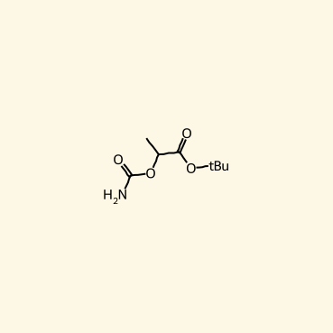 CC(OC(N)=O)C(=O)OC(C)(C)C